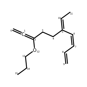 C=C=C(CCC(/C=C\C=C)=C/C)OCCC